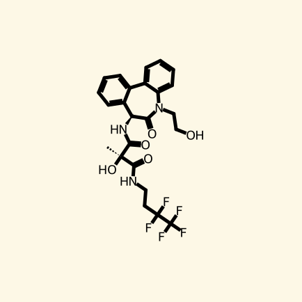 C[C@@](O)(C(=O)NCCC(F)(F)C(F)(F)F)C(=O)N[C@@H]1C(=O)N(CCO)c2ccccc2-c2ccccc21